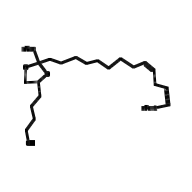 CCCCC/C=C\C/C=C\CCCCCCCCC1(CCCCCCCCC)OCC(CCCCO)O1